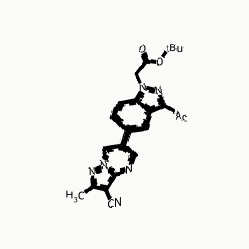 CC(=O)c1nn(CC(=O)OC(C)(C)C)c2ccc(-c3cnc4c(C#N)c(C)nn4c3)cc12